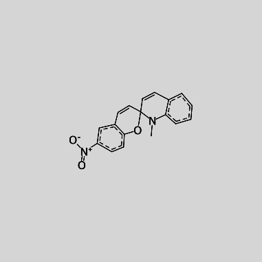 CN1c2ccccc2C=CC12C=Cc1cc([N+](=O)[O-])ccc1O2